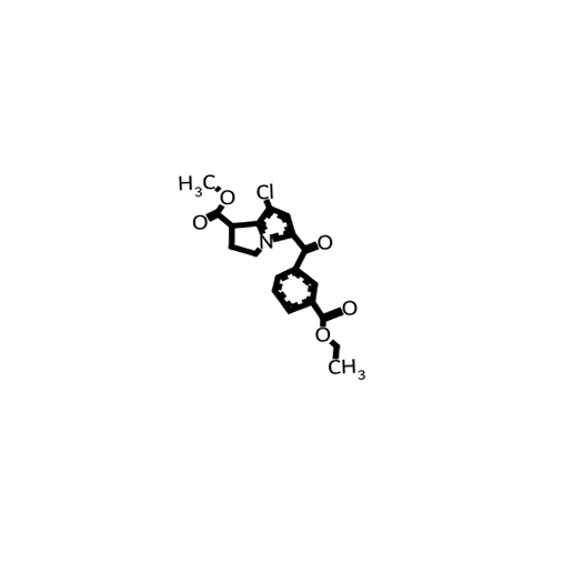 CCOC(=O)c1cccc(C(=O)c2cc(Cl)c3n2CCC3C(=O)OC)c1